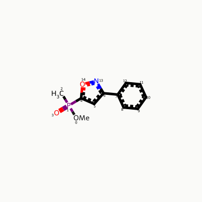 COP(C)(=O)c1cc(-c2ccccc2)no1